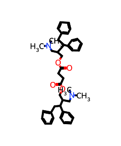 CN(C)CC(COC(=O)CCC(=O)OCC(CN(C)C)C(Cc1ccccc1)c1ccccc1)C(Cc1ccccc1)c1ccccc1